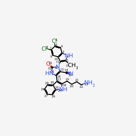 Cc1[nH]c2cc(Cl)c(Cl)cc2c1-n1c(C#N)c(-c2c(CCCCN)[nH]c3ccccc23)[nH]c1=O